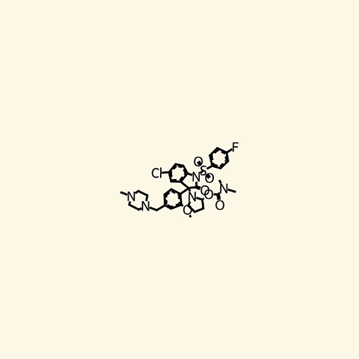 COc1cc(CN2CCN(C)CC2)ccc1C1(N2CCC[C@@H]2OC(=O)N(C)C)C(=O)N(S(=O)(=O)c2ccc(F)cc2)c2ccc(Cl)cc21